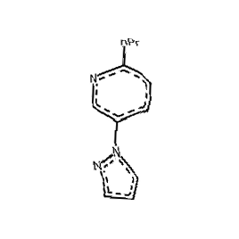 CCCc1ccc(-n2cccn2)cn1